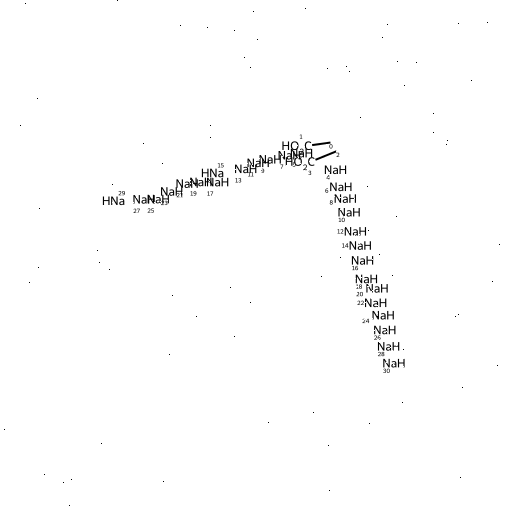 CC(=O)O.CC(=O)O.[NaH].[NaH].[NaH].[NaH].[NaH].[NaH].[NaH].[NaH].[NaH].[NaH].[NaH].[NaH].[NaH].[NaH].[NaH].[NaH].[NaH].[NaH].[NaH].[NaH].[NaH].[NaH].[NaH].[NaH].[NaH].[NaH].[NaH]